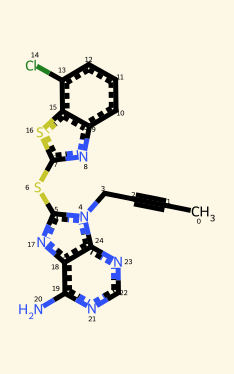 CC#CCn1c(Sc2nc3cccc(Cl)c3s2)nc2c(N)ncnc21